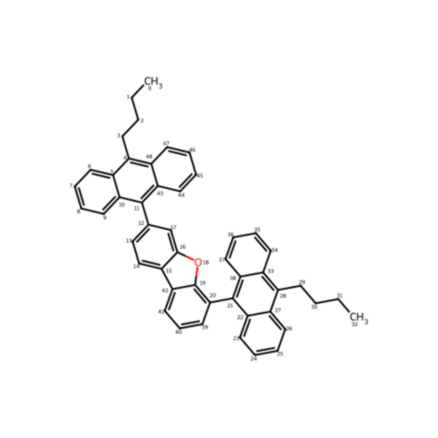 CCCCc1c2ccccc2c(-c2ccc3c(c2)oc2c(-c4c5ccccc5c(CCCC)c5ccccc45)cccc23)c2ccccc12